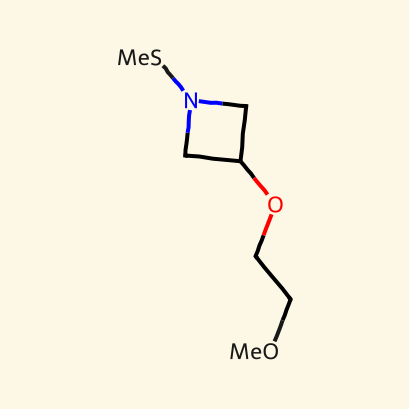 COCCOC1CN(SC)C1